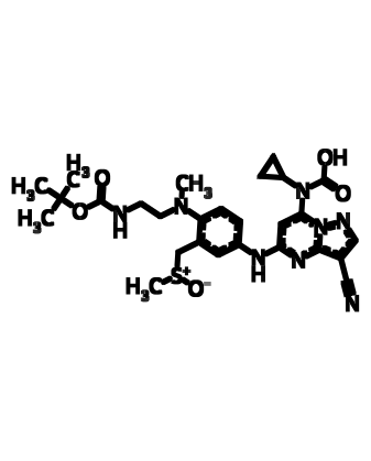 CN(CCNC(=O)OC(C)(C)C)c1ccc(Nc2cc(N(C(=O)O)C3CC3)n3ncc(C#N)c3n2)cc1C[S+](C)[O-]